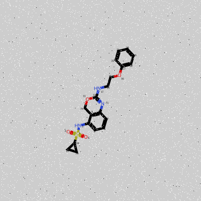 O=S(=O)(Nc1cccc2c1COC(NCCOc1ccccc1)=N2)C1CC1